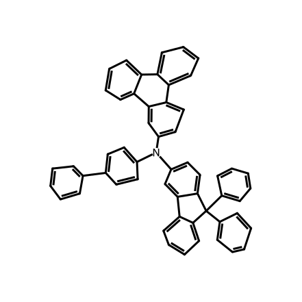 c1ccc(-c2ccc(N(c3ccc4c(c3)-c3ccccc3C4(c3ccccc3)c3ccccc3)c3ccc4c5ccccc5c5ccccc5c4c3)cc2)cc1